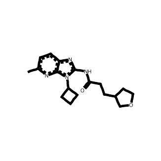 Cc1ccc2nc(NC(=O)CCC3CCOC3)n(C3CCC3)c2n1